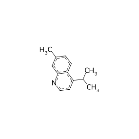 Cc1ccc2c(C(C)C)ccnc2c1